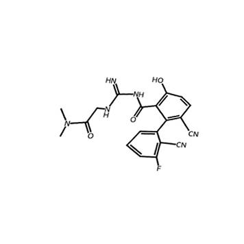 CN(C)C(=O)CNC(=N)NC(=O)c1c(O)ccc(C#N)c1-c1cccc(F)c1C#N